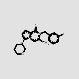 Cc1cn2c([C@@H]3CCCOC3)ncc2c(=O)n1Cc1cccc(F)c1